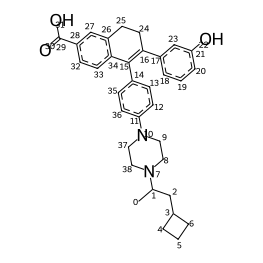 CC(CC1CCC1)N1CCN(c2ccc(C3=C(c4cccc(O)c4)CCc4cc(C(=O)O)ccc43)cc2)CC1